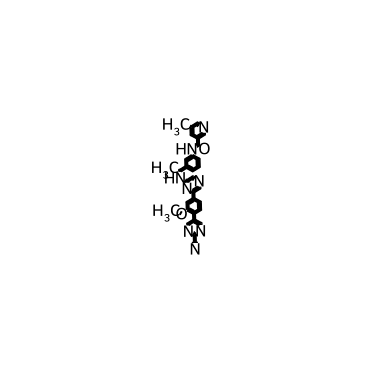 COc1cc(-c2cncc(N[C@@H](C)c3cccc(NC(=O)c4cncc(C)c4)c3)n2)ccc1-c1cnc(C#N)nc1